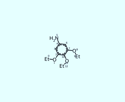 CCOc1cc(N)cc(OCC)c1OCC